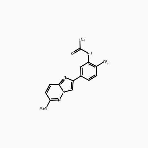 CNc1ccc2nc(-c3ccc(C(F)(F)F)c(NC(=O)C(C)(C)C)c3)cn2n1